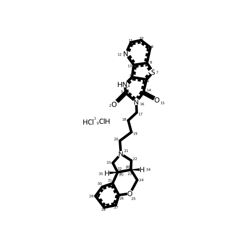 Cl.Cl.O=c1[nH]c2c(sc3cccnc32)c(=O)n1CCCCN1C[C@@H]2COc3ccccc3[C@@H]2C1